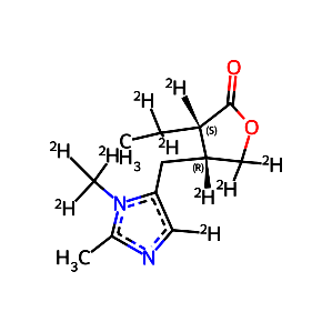 [2H]c1nc(C)n(C([2H])([2H])[2H])c1C[C@@]1([2H])C([2H])([2H])OC(=O)[C@@]1([2H])C([2H])([2H])C